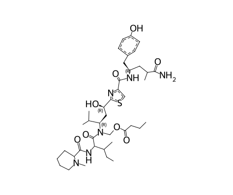 CCCC(=O)OCN(C(=O)C(NC(=O)C1CCCCN1C)C(C)CC)[C@H](C[C@@H](O)c1nc(C(=O)N[C@@H](Cc2ccc(O)cc2)CC(C)C(N)=O)cs1)C(C)C